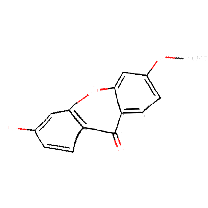 CCCCCCCCOc1ccc2c(=O)c3ccc(O)cc3oc2c1